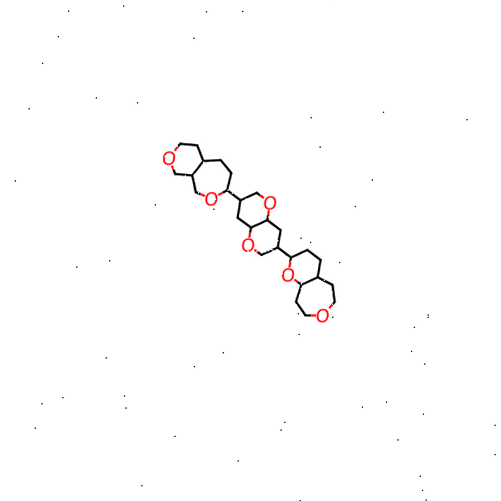 C1CC2CCC(C3COC4CC(C5CCC6CCOCC6CO5)COC4C3)OC2CCO1